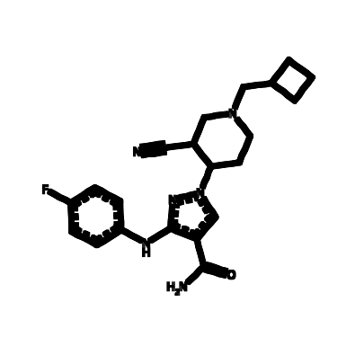 N#CC1CN(CC2CCC2)CCC1n1cc(C(N)=O)c(Nc2ccc(F)cc2)n1